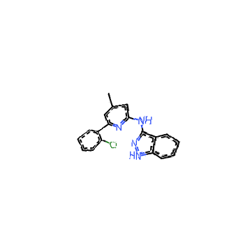 Cc1cc(Nc2n[nH]c3ccccc23)nc(-c2ccccc2Cl)c1